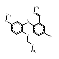 C/N=C/c1cc(C)ccc1Pc1cc(OC)ccc1OCOC